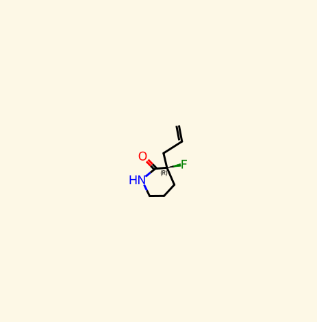 C=CC[C@]1(F)CCCNC1=O